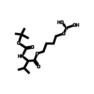 CC(C)C(NC(=O)OC(C)(C)C)C(=O)OCCCCON(O)O